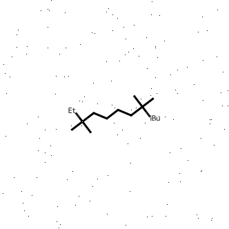 CCC(C)C(C)(C)CCCCC(C)(C)CC